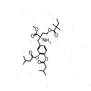 CCC(C)(C)C(=O)OCC[C@@](N)(Cc1ccc(OC(=O)CC(C)C)c(OC(=O)CC(C)C)c1)C(=O)OC